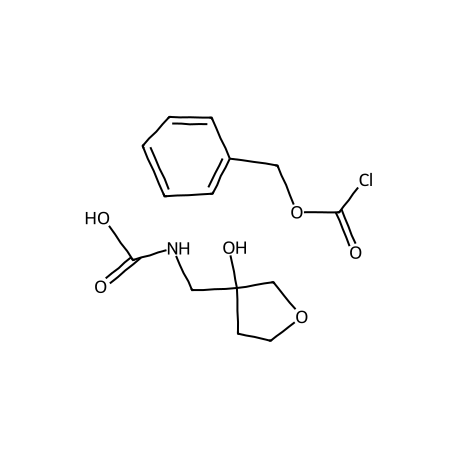 O=C(Cl)OCc1ccccc1.O=C(O)NCC1(O)CCOC1